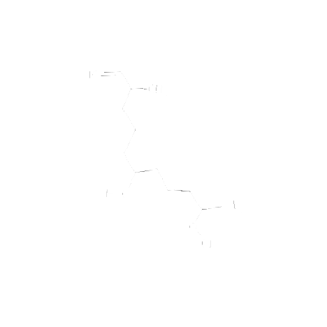 [CH]=CC(C)CCCC(C)CCCC(C)OC